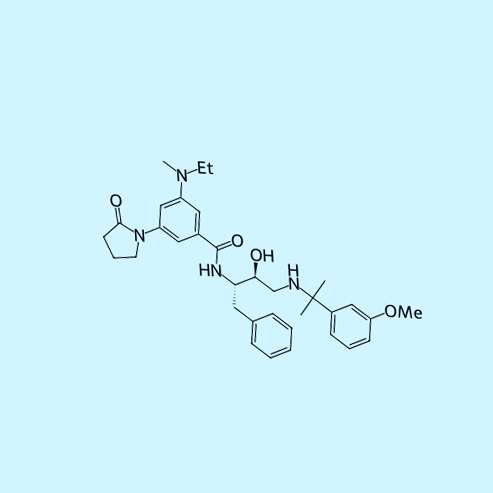 CCN(C)c1cc(C(=O)N[C@@H](Cc2ccccc2)[C@@H](O)CNC(C)(C)c2cccc(OC)c2)cc(N2CCCC2=O)c1